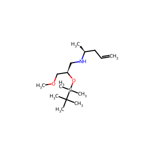 C=CC[C@H](C)NC[C@H](COC)O[Si](C)(C)C(C)(C)C